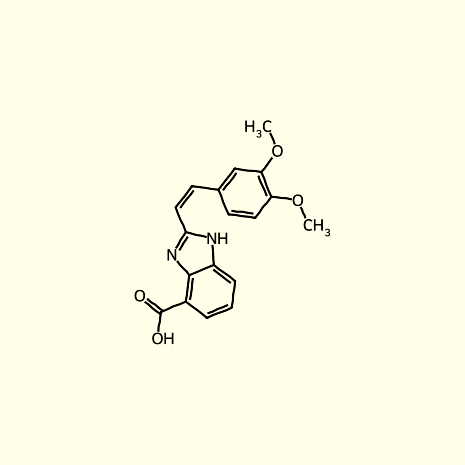 COc1ccc(/C=C\c2nc3c(C(=O)O)cccc3[nH]2)cc1OC